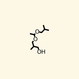 CC(C)COC(C)OCC(C)CO